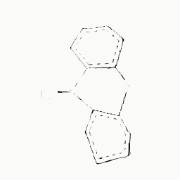 FC(F)(F)N1c2ccccc2Sc2ccccc21